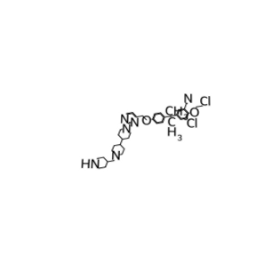 CC(C)(c1ccc(OCc2ccnc(N3CCC(C4CCN(CC5CCNCC5)CC4)CC3)n2)cc1)c1cc(Cl)c(OCCCl)c(C#N)c1